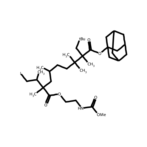 COC(=O)NCCOC(=O)C(C)(CC(C)CCC(C)(C)C(C)(CC(C)(C)C)C(=O)OC12CC3CC(CC(C3)C1)C2)C(C)CI